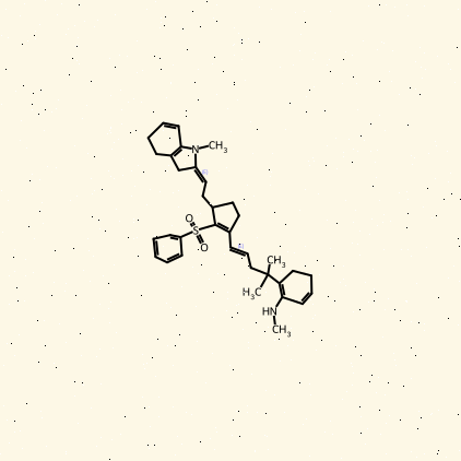 CNC1=C(C(C)(C)C/C=C/C2=C(S(=O)(=O)c3ccccc3)C(C/C=C3\CC4=C(C=CCC4)N3C)CC2)CCC=C1